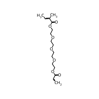 C=CC(=O)OCCOCCOCCOCCOC(=O)C(C)=CC